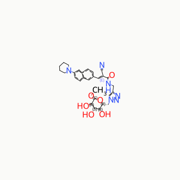 CO[C@H]1O[C@H](Cn2cc(CNC(=O)/C(C#N)=C/c3ccc4cc(N5CCCCC5)ccc4c3)nn2)[C@H](O)[C@H](O)[C@H]1O